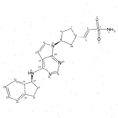 NS(=O)(=O)/C=C/[C@H]1CC[C@H](n2ccc3c(N[C@H]4CCc5ccccc54)ncnc32)C1